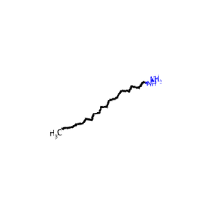 CCCCCCCCCCCCCCCCCCNN